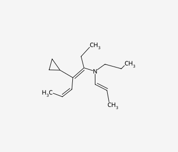 C/C=C\C(=C(\CC)N(/C=C/C)CCC)C1CC1